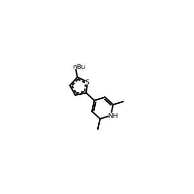 CCCCc1ccc(C2=CC(C)NC(C)=C2)s1